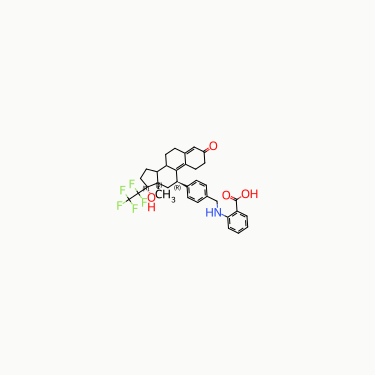 C[C@]12C[C@H](c3ccc(CNc4ccccc4C(=O)O)cc3)C3=C4CCC(=O)C=C4CCC3C1CC[C@]2(O)C(F)(F)C(F)(F)F